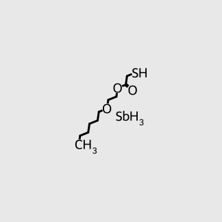 CCCCCCOCCOC(=O)CS.[SbH3]